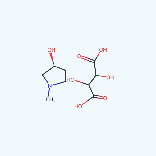 CN1CC[C@H](O)C1.O=C(O)C(O)C(O)C(=O)O